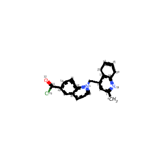 Cc1cc(Cn2ccc3cc(C(=O)Cl)ccc32)c2c(n1)CC=CC2